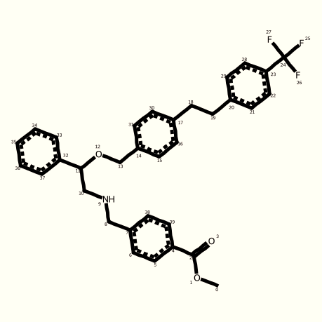 COC(=O)c1ccc(CNCC(OCc2ccc(CCc3ccc(C(F)(F)F)cc3)cc2)c2ccccc2)cc1